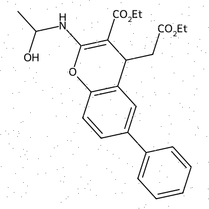 CCOC(=O)CC1C(C(=O)OCC)=C(NC(C)O)Oc2ccc(-c3ccccc3)cc21